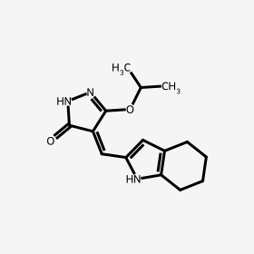 CC(C)OC1=NNC(=O)/C1=C/c1cc2c([nH]1)CCCC2